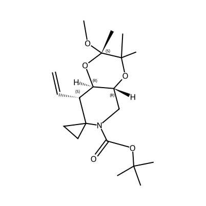 C=C[C@@H]1[C@H]2O[C@](C)(OC)C(C)(C)O[C@@H]2CN(C(=O)OC(C)(C)C)C12CC2